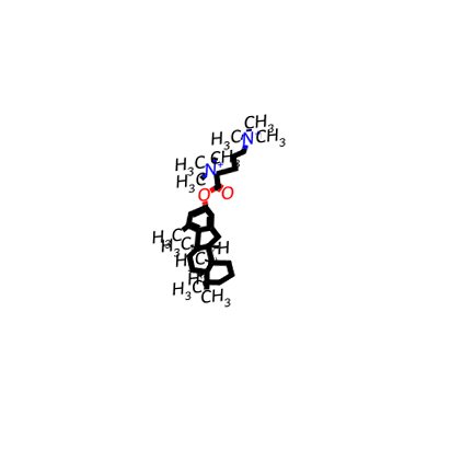 Cc1cc(OC(=O)C(CCC[N+](C)(C)C)[N+](C)(C)C)cc2c1[C@]1(C)CC[C@H]3C(C)(C)CCC[C@]3(C)[C@H]1C2